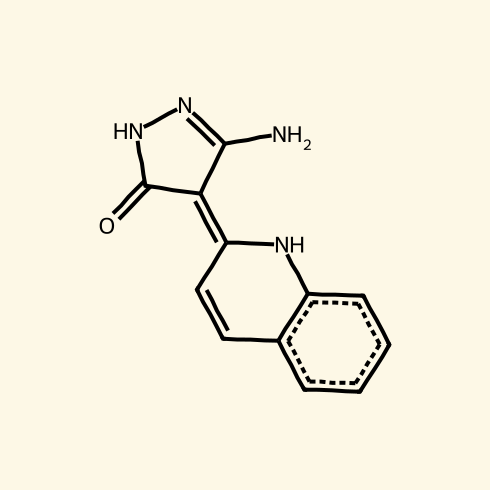 NC1=NNC(=O)C1=C1C=Cc2ccccc2N1